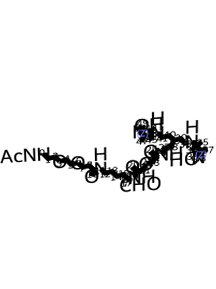 CC(=O)NCCOCCOCCC(=O)NCCCC[C@@H](C=O)NC(=O)COCC(=O)NCCC(CCNC(C)(C)/C(C)=N\O)CCNC(C)(C)/C(C)=N\O